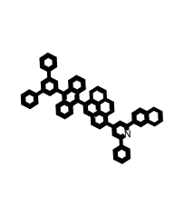 C1=CCc2cc(-c3cc(-c4ccc5cc(-c6c7ccccc7c(-c7cc(-c8ccccc8)cc(-c8ccccc8)c7)c7ccccc67)c6c7c5c4C=CC7C=CC6)cc(-c4ccccc4)n3)ccc2C1